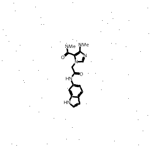 CNC(=O)c1c(NC)ncn1CC(=O)Nc1ccc2cc[nH]c2c1